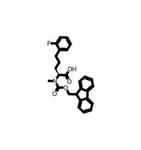 CN(C(=O)OCC1c2ccccc2-c2ccccc21)[C@@H](CCCc1ccccc1F)C(=O)O